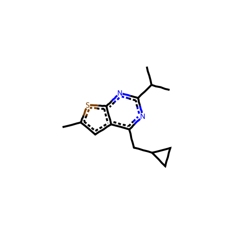 Cc1cc2c(CC3CC3)nc(C(C)C)nc2s1